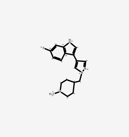 CN1CCC(Cn2cc(-c3c[nH]c4cc(F)ccc34)cn2)CC1